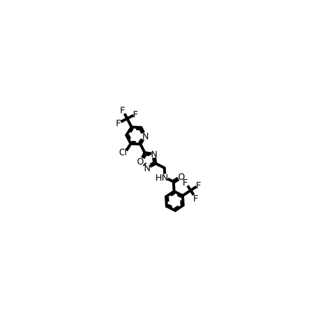 O=C(NCc1noc(-c2ncc(C(F)(F)F)cc2Cl)n1)c1ccccc1C(F)(F)F